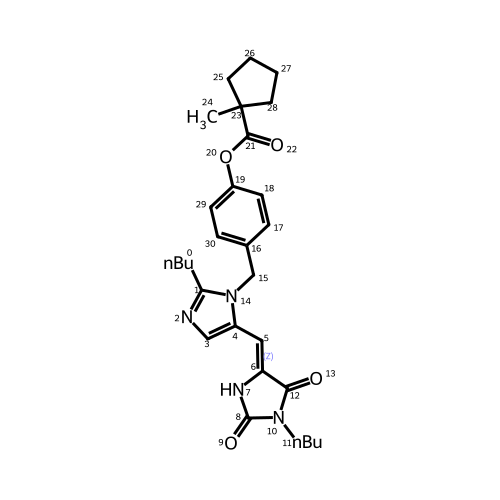 CCCCc1ncc(/C=C2\NC(=O)N(CCCC)C2=O)n1Cc1ccc(OC(=O)C2(C)CCCC2)cc1